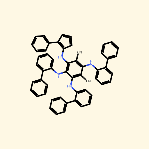 N#Cc1c(Nc2ccccc2-c2ccccc2)c(C#N)c(Nc2ccccc2-c2ccccc2)c(Nc2ccccc2-c2ccccc2)c1NC1=C(c2ccccc2)C=C=C1